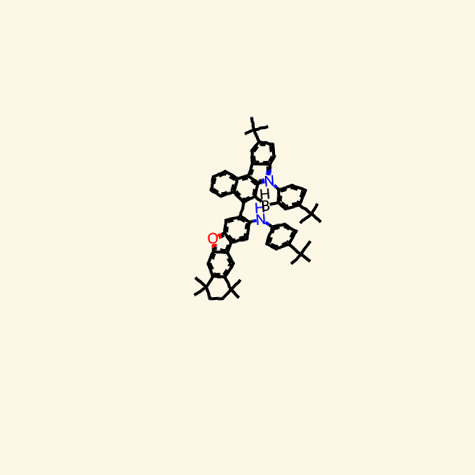 CC(C)(C)c1ccc(Nc2cc3c(cc2-c2c4c5c(c6ccccc26)c2cc(C(C)(C)C)ccc2n5-c2ccc(C(C)(C)C)cc2B4)oc2cc4c(cc23)C(C)(C)CCC4(C)C)cc1